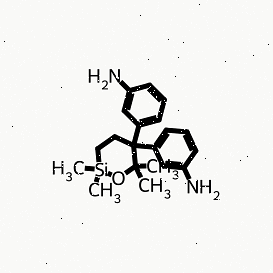 CC1(C)O[Si](C)(C)CCC1(c1cccc(N)c1)c1cccc(N)c1